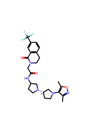 Cc1noc(C)c1N1CC[C@H](N2CCC(NC(=O)CN3CCc4ccc(C(F)(F)F)cc4C3=O)C2)C1